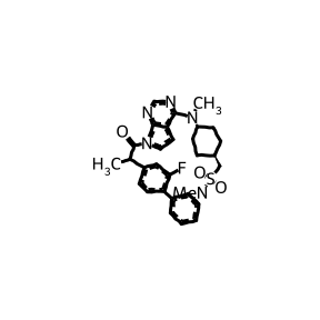 CNS(=O)(=O)C[C@H]1CC[C@H](N(C)c2ncnc3c2ccn3C(=O)C(C)c2ccc(-c3ccccc3)c(F)c2)CC1